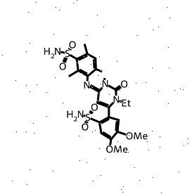 CCn1c(-c2cc(OC)c(OC)cc2S(N)(=O)=O)c/c(=N/c2c(C)cc(C)c(S(N)(=O)=O)c2C)n(C)c1=O